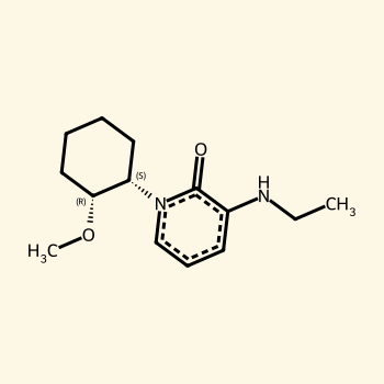 CCNc1cccn([C@H]2CCCC[C@H]2OC)c1=O